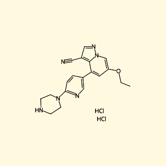 CCOc1cc(-c2ccc(N3CCNCC3)nc2)c2c(C#N)cnn2c1.Cl.Cl